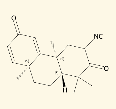 [C-]#[N+]C1C[C@]2(C)C3=CC(=O)C=C[C@]3(C)CC[C@H]2C(C)(C)C1=O